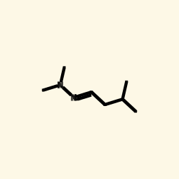 CC(C)CC=NN(C)C